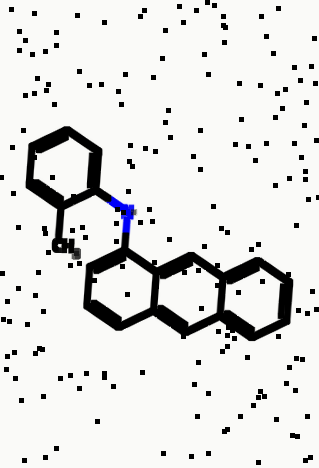 Cc1ccccc1[N]c1cccc2cc3ccccc3cc12